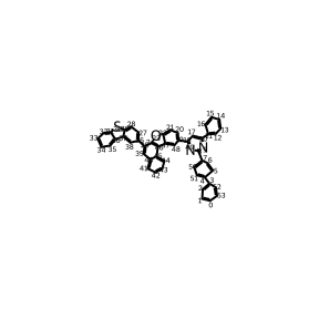 c1ccc(-c2ccc(-c3nc(-c4ccccc4)cc(-c4ccc5oc6c(-c7ccc8sc9ccccc9c8c7)cc7ccccc7c6c5c4)n3)cc2)cc1